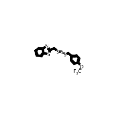 FC(F)(F)Oc1ccc(CSSSCc2nc3ccccc3s2)cc1